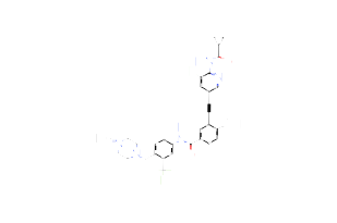 Cc1ccc(C(=O)Nc2ccc(CN3CCN(C)CC3)c(C(F)(F)F)c2)cc1C#Cc1cnc(NC(=O)C2CC2)c(F)c1